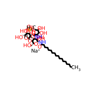 CCCCCCCCCCCCCCCCCC(=O)N[C@@H]1O[C@H](CO)[C@@H](O[C@H]2C[C@@H](OS(=O)(=O)[O-])[C@@H](O)[C@@H](CO)O2)[C@H](O[C@@H]2O[C@@H](C)[C@@H](O)[C@@H](O)[C@@H]2O)[C@]1(O)NC(C)=O.[Na+]